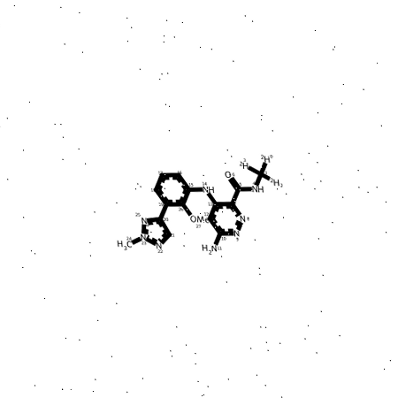 [2H]C([2H])([2H])NC(=O)c1nnc(N)cc1Nc1cccc(-c2cnn(C)n2)c1OC